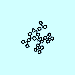 c1ccc(N(c2ccccc2)c2ccc(N(c3ccccc3)c3ccc(-c4nc5c(-c6ccc7c(c6)C6(c8ccccc8-c8ccccc86)c6ccccc6-7)ccc(-c6ccc7c(c6)C6(c8ccccc8-c8ccccc86)c6ccccc6-7)c5nc4-c4ccc(N(c5ccccc5)c5ccc(N(c6ccccc6)c6ccccc6)cc5)cc4)cc3)cc2)cc1